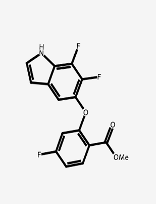 COC(=O)c1ccc(F)cc1Oc1cc2cc[nH]c2c(F)c1F